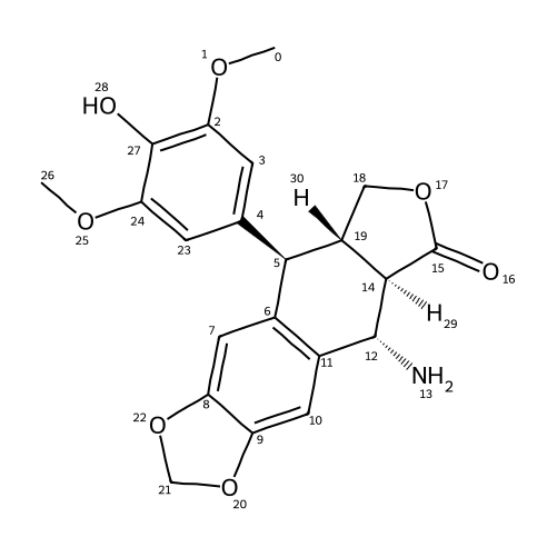 COc1cc([C@@H]2c3cc4c(cc3[C@@H](N)[C@@H]3C(=O)OC[C@@H]23)OCO4)cc(OC)c1O